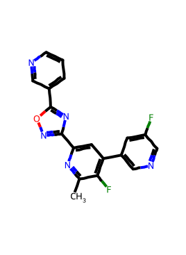 Cc1nc(-c2noc(-c3cccnc3)n2)cc(-c2cncc(F)c2)c1F